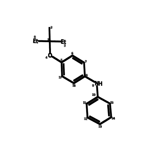 CCC(C)(CC)Oc1ccc(Nc2ccccc2)cc1